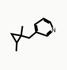 CC1CC1(C)Cc1[c]nccc1